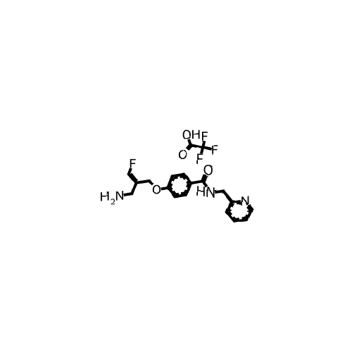 NC/C(=C/F)COc1ccc(C(=O)NCc2ccccn2)cc1.O=C(O)C(F)(F)F